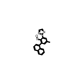 Cc1cc(-c2cccc3ccccc23)c(N=O)c(-n2nccn2)c1